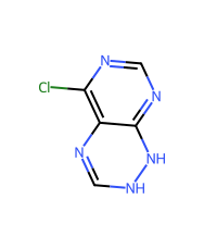 Clc1ncnc2c1N=CNN2